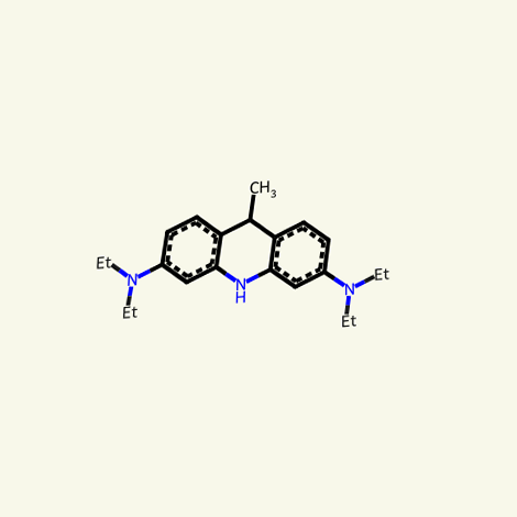 CCN(CC)c1ccc2c(c1)Nc1cc(N(CC)CC)ccc1C2C